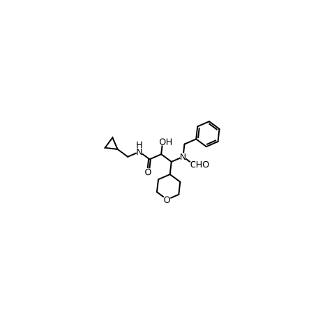 O=CN(Cc1ccccc1)C(C1CCOCC1)C(O)C(=O)NCC1CC1